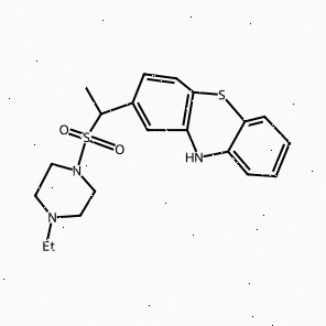 CCN1CCN(S(=O)(=O)C(C)c2ccc3c(c2)Nc2ccccc2S3)CC1